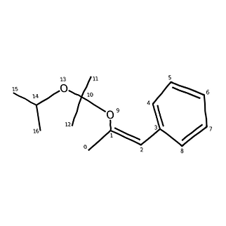 CC(=Cc1ccccc1)OC(C)(C)OC(C)C